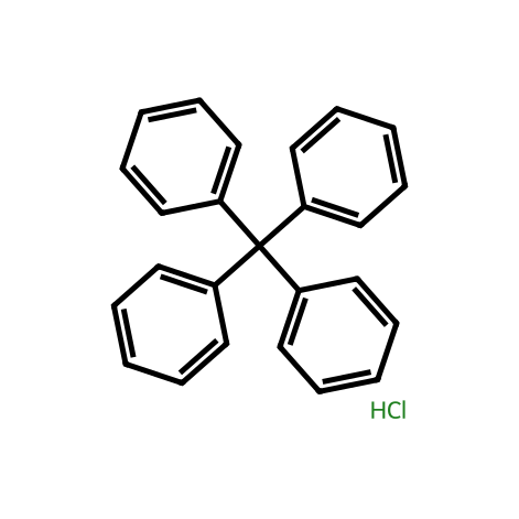 Cl.c1ccc(C(c2ccccc2)(c2ccccc2)c2ccccc2)cc1